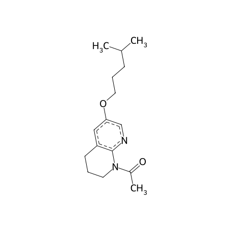 CC(=O)N1CCCc2cc(OCCCC(C)C)cnc21